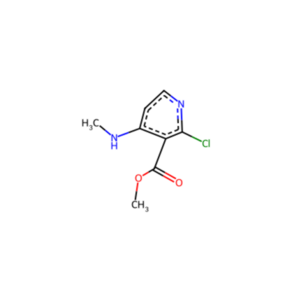 CNc1ccnc(Cl)c1C(=O)OC